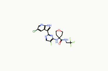 O=C(NCC(F)(F)F)C1(Nc2nc(-c3c[nH]c4ncc(Cl)cc34)ncc2F)CCOCC1